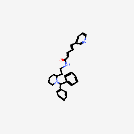 O=C(C=CC=Cc1cccnc1)NCCC1CCCCN1C(c1ccccc1)c1ccccc1